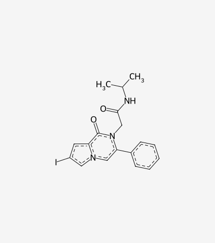 CC(C)NC(=O)Cn1c(-c2ccccc2)cn2cc(I)cc2c1=O